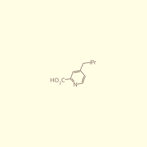 CC(C)Cc1ccnc(C(=O)O)c1